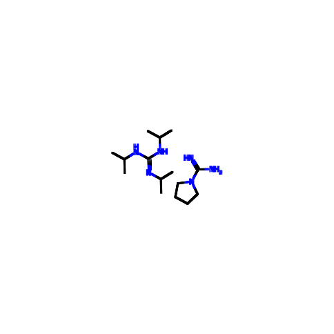 CC(C)N=C(NC(C)C)NC(C)C.N=C(N)N1CCCC1